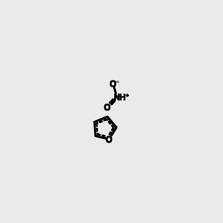 O=[NH+][O-].c1ccoc1